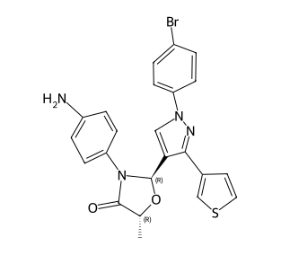 C[C@H]1O[C@H](c2cn(-c3ccc(Br)cc3)nc2-c2ccsc2)N(c2ccc(N)cc2)C1=O